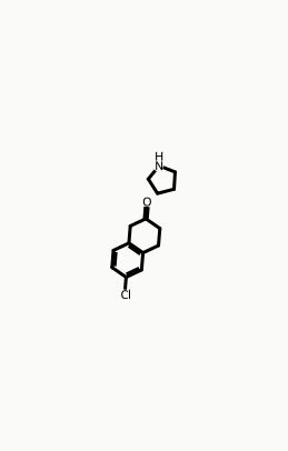 C1CCNC1.O=C1CCc2cc(Cl)ccc2C1